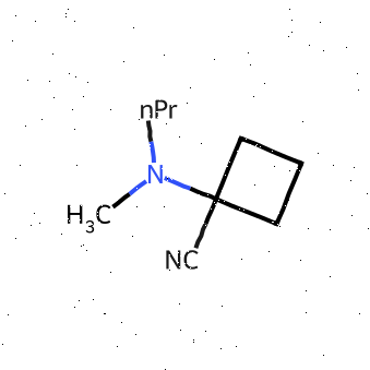 CCCN(C)C1(C#N)CCC1